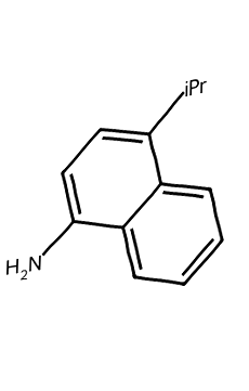 CC(C)c1ccc(N)c2ccccc12